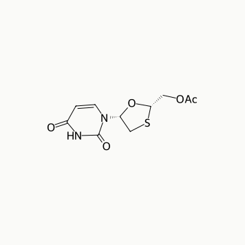 CC(=O)OC[C@H]1O[C@@H](n2ccc(=O)[nH]c2=O)CS1